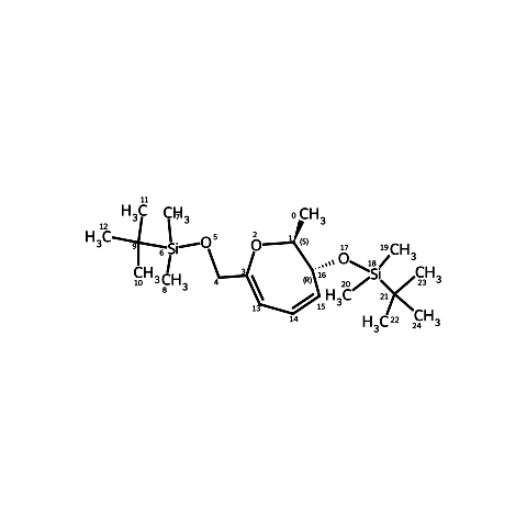 C[C@@H]1OC(CO[Si](C)(C)C(C)(C)C)=CC=C[C@H]1O[Si](C)(C)C(C)(C)C